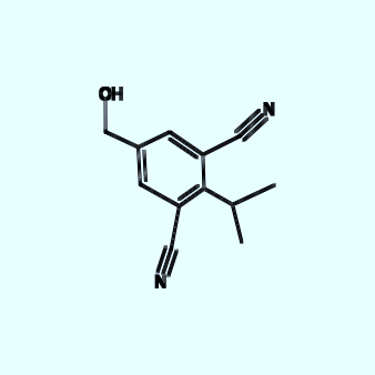 CC(C)c1c(C#N)cc(CO)cc1C#N